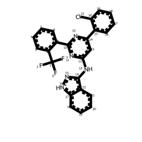 FC(F)(F)c1ccccc1-c1nc(Nc2n[nH]c3ccccc23)cc(-c2ccccc2Cl)n1